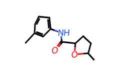 Cc1cccc(NC(=O)C2CCC(C)O2)c1